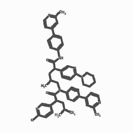 Cc1cc(-c2ccc(NC(=O)C(CC(C)CN(C(=O)C(CC(C)C)c3ccc(Cl)nc3)c3ccc(-c4ccnc(C)c4)cc3)c3ccc(N4CCCCC4)nc3)cc2)ccn1